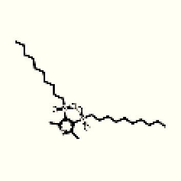 CCCCCCCCCCS(=O)(=O)c1c(C)sc(C)c1S(=O)(=O)CCCCCCCCCC